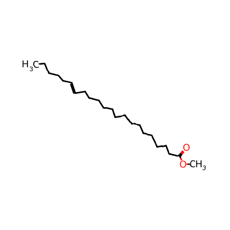 CCCCCC=CCCCCCCCCCCCCCCC(=O)OC